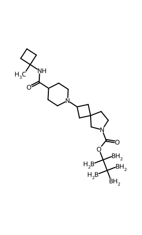 BC(B)(B)C(B)(B)OC(=O)N1CCC2(CC(N3CCC(C(=O)NC4(C)CCC4)CC3)C2)C1